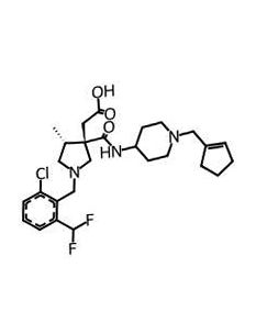 C[C@H]1CN(Cc2c(Cl)cccc2C(F)F)C[C@@]1(CC(=O)O)C(=O)NC1CCN(CC2=CCCC2)CC1